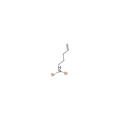 C=CCCC[SiH](Br)Br